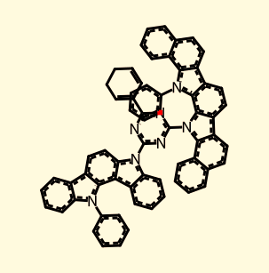 C1=CC(c2nc(-n3c4ccccc4c4c3ccc3c5ccccc5n(-c5ccccc5)c34)nc(-n3c4c5ccccc5ccc4c4ccc5c6ccc7ccccc7c6n(-c6ccccc6)c5c43)n2)=CCC1